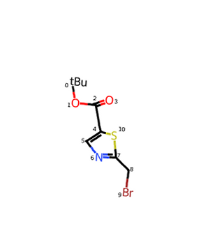 CC(C)(C)OC(=O)c1cnc(CBr)s1